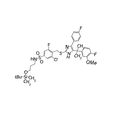 COc1cc(C(C)(C)c2[nH]c(SCc3c(F)cc(S(=O)(=O)NCCCO[Si](C)(C)C(C)(C)C)cc3Cl)nc2-c2ccc(F)cc2)ccc1F